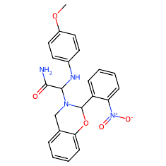 COc1ccc(NC(C(N)=O)N2Cc3ccccc3OC2c2ccccc2[N+](=O)[O-])cc1